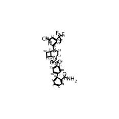 NC(=O)c1ccccc1-c1ccc(S(=O)(=O)N2CCN(c3cc(C(F)(F)F)cc(Cl)n3)C3CCC32)cc1